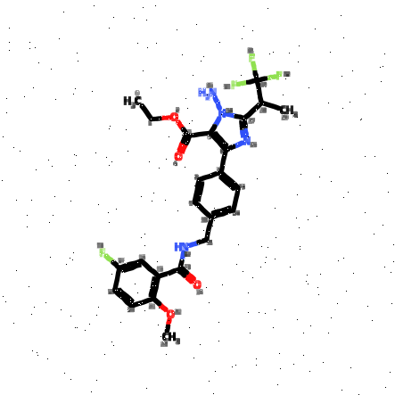 CCOC(=O)c1c(-c2ccc(CNC(=O)c3cc(F)ccc3OC)cc2)nc(C(C)C(F)(F)F)n1N